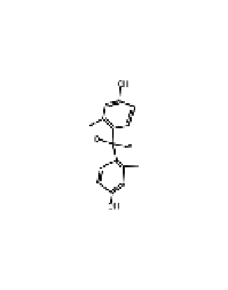 Cc1cc(O)ccc1C(O)(F)c1ccc(O)cc1C